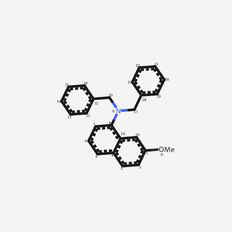 COc1ccc2cccc(N(Cc3ccccc3)Cc3ccccc3)c2c1